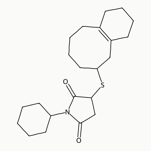 O=C1CC(SC2CCCCC3=C(CCCC3)C2)C(=O)N1C1CCCCC1